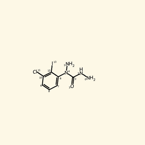 NNC(=O)N(N)c1cccc(Cl)c1I